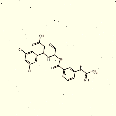 N=C(N)Nc1cccc(C(=O)NC(C=O)N[C@H](CC(=O)O)c2cc(Cl)cc(Cl)c2)c1